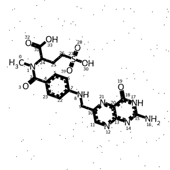 CN(C(=O)c1ccc(NCc2cnc3nc(N)[nH]c(=O)c3n2)cc1)C(CCS(=O)(=O)O)C(=O)O